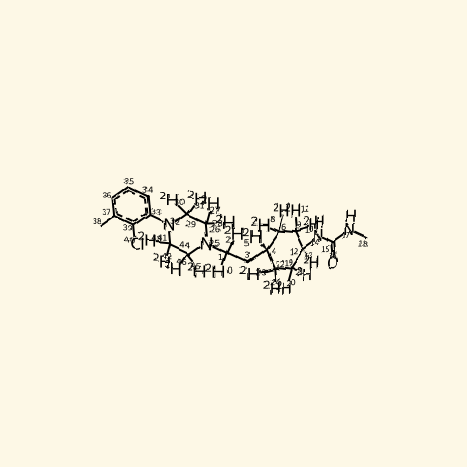 [2H]C([2H])(C[C@]1([2H])C([2H])([2H])C([2H])([2H])[C@@]([2H])(NC(=O)NC)C([2H])([2H])C1([2H])[2H])N1C([2H])([2H])C([2H])([2H])N(c2cccc(C)c2Cl)C([2H])([2H])C1([2H])[2H]